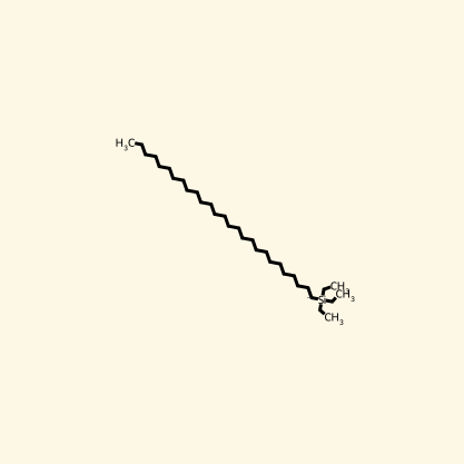 CCCCCCCCCCCCCCCCCCCCCCCCCC[CH][Si](CC)(CC)CC